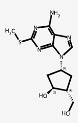 CSc1nc(N)c2ncn([C@@H]3C[C@H](CO)[C@@H](O)C3)c2n1